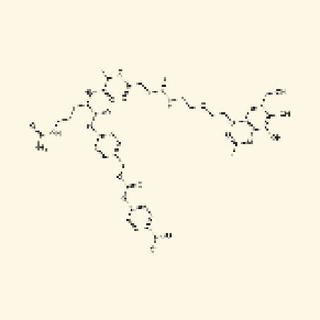 CC(=O)Nc1c(OCCOCCNC(=O)CCC(=O)NC(C)C(=O)NC(CCCNC(N)=O)C(=O)Nc2ccc(COC(=O)Oc3ccc([N+](=O)[O-])cc3)cc2)cc(CO)c(O)c1O